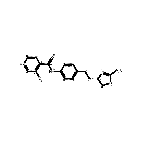 NC1=N[C@@H](CCc2ccc(NC(=O)c3ccncc3Cl)cc2)CO1